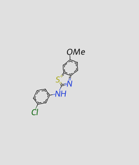 COc1ccc2nc(Nc3cccc(Cl)c3)sc2c1